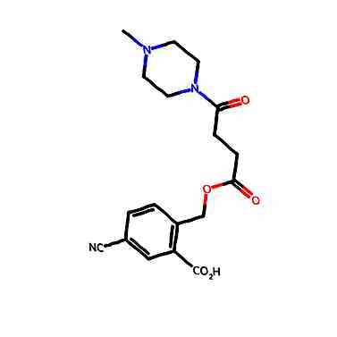 CN1CCN(C(=O)CCC(=O)OCc2ccc(C#N)cc2C(=O)O)CC1